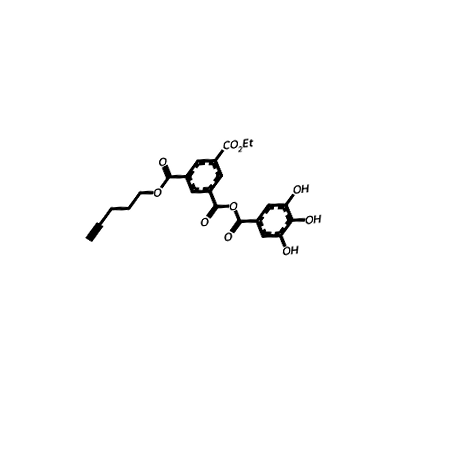 C#CCCCOC(=O)c1cc(C(=O)OCC)cc(C(=O)OC(=O)c2cc(O)c(O)c(O)c2)c1